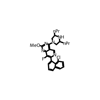 CCCC1CN(c2nc(OC)nc3c(F)c(-c4cccc5cccc(Cl)c45)ncc23)CC(CCC)N1